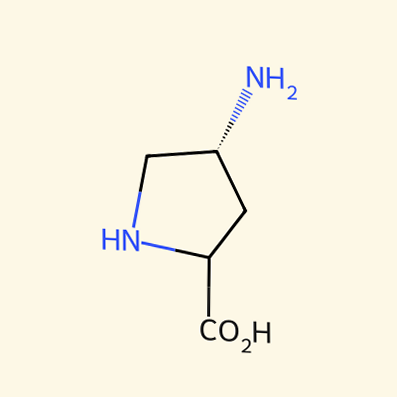 N[C@H]1CNC(C(=O)O)C1